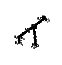 C=C(C)CCCC(C)(C)CCCCCCCCCC(=O)NCCCC[C@H](NC(=O)CCCCCCCCC1=C(C)CCCC1(C)C)C(=O)NCCCOCCOCCOCCCNC(C)=O